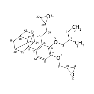 CCC(C)COc1c(OCC2CO2)ccc(C23CC4CC(CC(C4)C2)C3)c1CCC1CO1